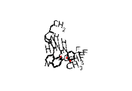 C=CC1C[N@@]2CCC1C[C@H]2C(NC(=S)Nc1cc(C)cc(C(F)(F)F)c1)c1ccnc2ccc(OC)cc12